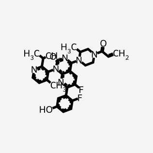 C=CC(=O)N1CCN(c2nc(=O)n(-c3c(C)ccnc3C(C)C)c3nc(-c4cc(O)ccc4F)c(F)cc23)C(C)C1